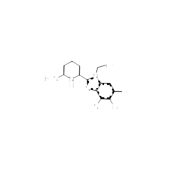 CC(C)Cn1c(C2CCCC(N)N2)nc2c([N+](=O)[O-])c(Br)c(Br)cc21